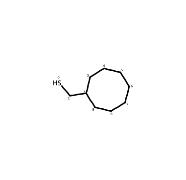 SCC1CCCCCCC1